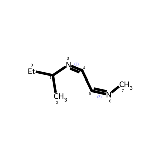 CCC(C)/N=C\C=N/C